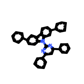 c1ccc(-c2ccc3c(c2)c2ccc(-c4ccccc4)cc2n3-c2nc(-c3ccccc3)cc(-c3ccccc3)n2)cc1